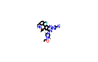 C=CC(=O)N1C[C@H](C)N(c2nc(N3CC(N(C)C)C3)nc3c(F)c(-c4c(C)ccc5cnn(C6CC6)c45)c(C)cc23)C[C@H]1C